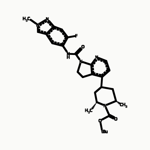 C[C@@H]1CC(c2ccnc3c2CCN3C(=O)Nc2cc3cn(C)nc3cc2F)C[C@H](C)N1C(=O)OC(C)(C)C